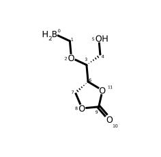 BCO[C@H](CO)[C@H]1COC(=O)O1